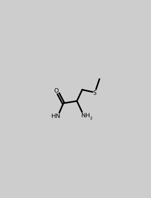 CSCC(N)C([NH])=O